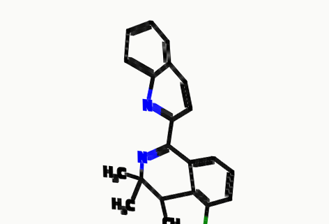 CC1c2c(Cl)cccc2C(c2ccc3ccccc3n2)=NC1(C)C